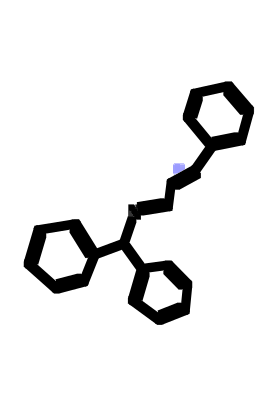 C(/C=C/c1ccccc1)=NC(c1ccccc1)c1ccccc1